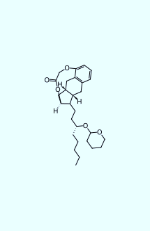 CCCCC[C@H](CCC1[C@H]2Cc3cccc4c3C[C@H]2C[C@H]1OC(=O)CO4)OC1CCCCO1